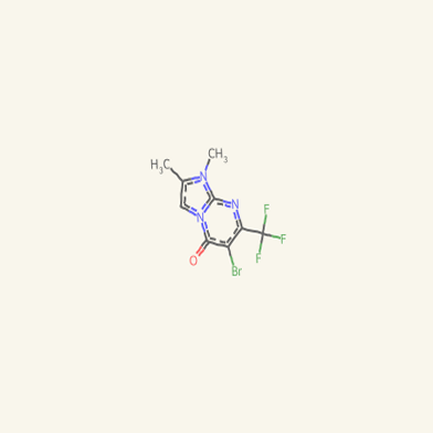 Cc1cn2c(=O)c(Br)c(C(F)(F)F)nc2n1C